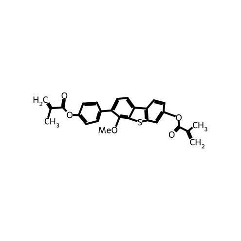 C=C(C)C(=O)Oc1ccc(-c2ccc3c(sc4cc(OC(=O)C(=C)C)ccc43)c2OC)cc1